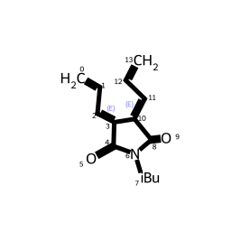 C=C/C=C1/C(=O)N(C(C)CC)C(=O)/C1=C/C=C